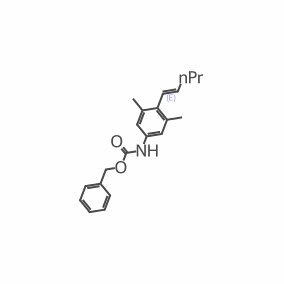 CCC/C=C/c1c(C)cc(NC(=O)OCc2ccccc2)cc1C